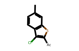 CC(=O)c1sc2cc(C)ccc2c1Cl